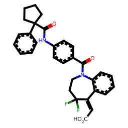 O=C(O)C=C1c2ccccc2N(C(=O)c2ccc(NC(=O)C3(c4ccccc4)CCCC3)cc2)CCC1(F)F